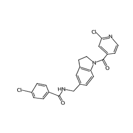 O=C(NCc1ccc2c(c1)CCN2C(=O)c1ccnc(Cl)c1)c1ccc(Cl)cc1